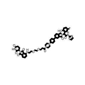 O=C1CCC(N2C(=O)c3cccc(NCCOCCOCCC(=O)N4CCN(c5ccc(-c6ccc7c(c6)C(=O)N(C(C(=O)Nc6nccs6)c6cc(F)ccc6O)C7)cc5)CC4)c3C2=O)C(=O)N1